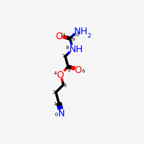 N#CCCOC(=O)CNC(N)=O